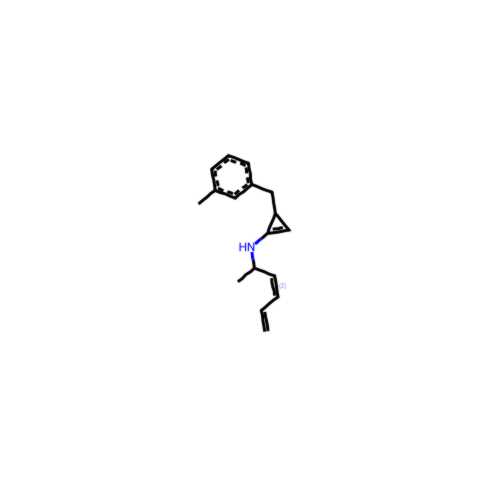 C=C/C=C\C(C)NC1=CC1Cc1cccc(C)c1